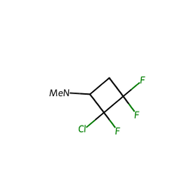 CNC1CC(F)(F)C1(F)Cl